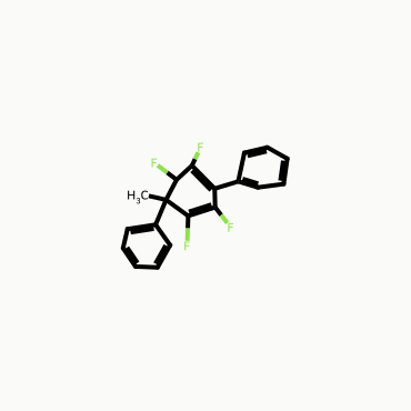 CC1(c2ccccc2)C(F)=C(F)C(c2ccccc2)=C(F)C1F